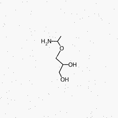 CC(N)OCC(O)CO